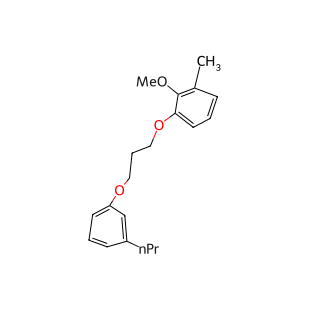 CCCc1cccc(OCCCOc2cccc(C)c2OC)c1